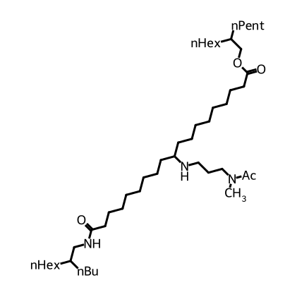 CCCCCCC(CCCC)CNC(=O)CCCCCCCCC(CCCCCCCCC(=O)OCC(CCCCC)CCCCCC)NCCCN(C)C(C)=O